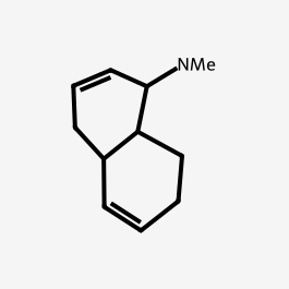 CNC1C=CCC2C=CCCC21